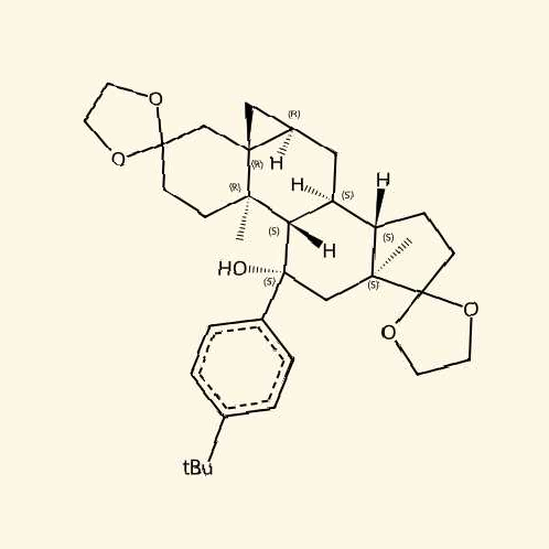 CC(C)(C)c1ccc([C@]2(O)C[C@@]3(C)[C@@H](CCC34OCCO4)[C@@H]3C[C@@H]4C[C@@]45CC4(CC[C@]5(C)[C@H]32)OCCO4)cc1